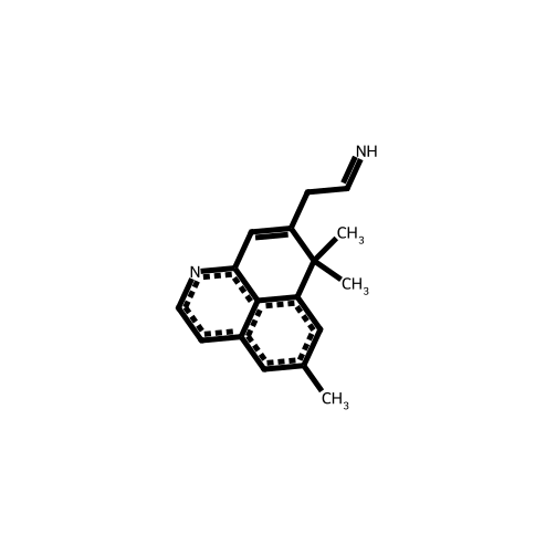 Cc1cc2c3c(nccc3c1)C=C(CC=N)C2(C)C